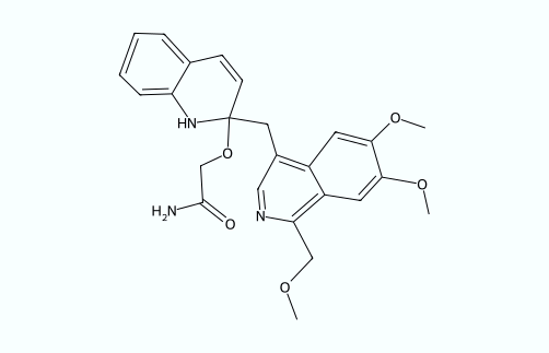 COCc1ncc(CC2(OCC(N)=O)C=Cc3ccccc3N2)c2cc(OC)c(OC)cc12